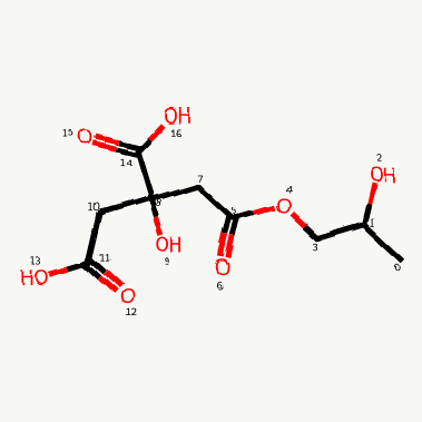 CC(O)COC(=O)CC(O)(CC(=O)O)C(=O)O